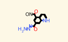 NN=NC(=O)C1=CC2NC=CC=C2C(C(=O)N=O)=C1